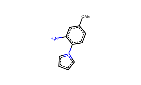 COc1ccc(-n2cccc2)c(N)c1